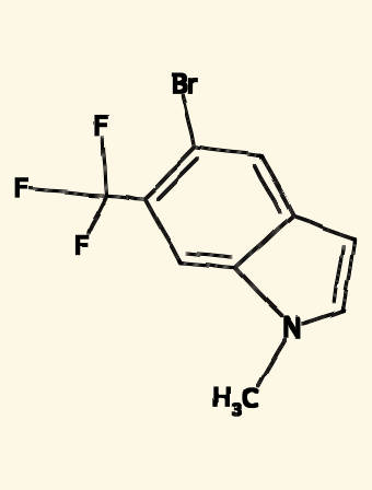 Cn1ccc2cc(Br)c(C(F)(F)F)cc21